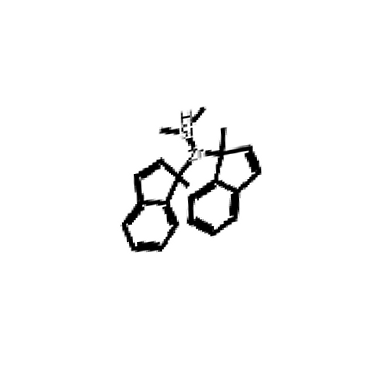 C[SiH](C)[Zr]([C]1(C)C=Cc2ccccc21)[C]1(C)C=Cc2ccccc21